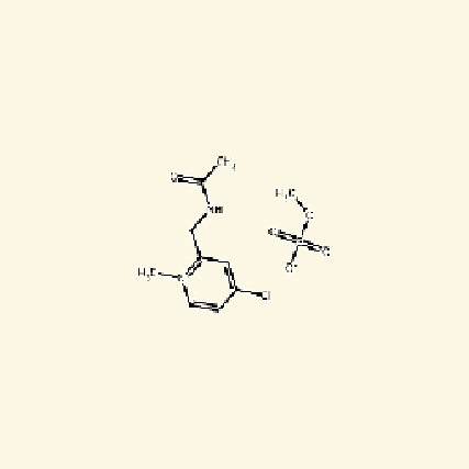 CC(=O)NCc1cc(Cl)cc[n+]1C.COS(=O)(=O)[O-]